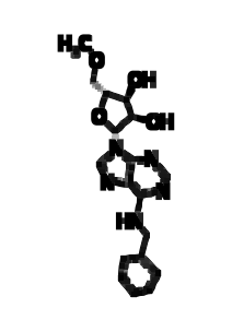 COC[C@H]1O[C@@H](n2cnc3c(NCc4ccccc4)ncnc32)[C@H](O)[C@@H]1O